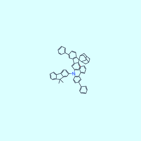 CC1(C)c2ccccc2-c2ccc(N(c3ccc4c(c3)-c3cc(-c5ccccc5)ccc3C43C4CC5CC(C4)CC3C5)c3ccc(-c4ccccc4)cc3-c3ccccc3)cc21